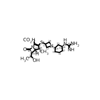 C[C@@H](O)[C@H]1C(=O)N2C(C(=O)O)=C(SC3CN([C@H]4CCC[C@H](NC(=N)N)C4)C3)[C@H](C)[C@H]12